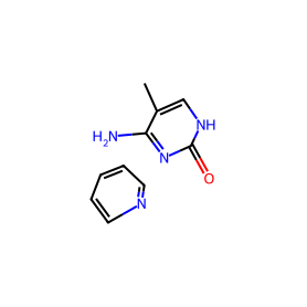 Cc1c[nH]c(=O)nc1N.c1ccncc1